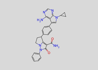 NC(=O)c1c2n(n(-c3ccccc3)c1=O)CCC2c1ccc(-c2cn(C3CC3)c3ncnc(N)c23)cc1